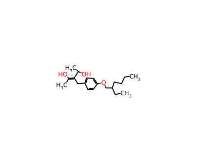 CCCCC(CC)COc1ccc(C/C(=C(\C)O)C(C)O)cc1